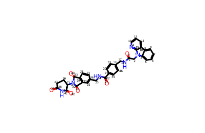 O=C(Cn1c2ccccc2c2cccnc21)NCc1ccc(C(=O)NCc2ccc3c(c2)C(=O)N(C2CCC(=O)NC2=O)C3=O)cc1